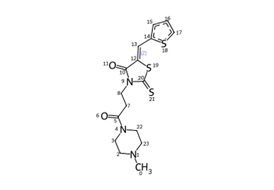 CN1CCN(C(=O)CCN2C(=O)/C(=C/c3cccs3)SC2=S)CC1